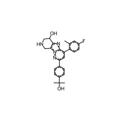 Cc1cc(F)ccc1-c1cc(-c2ccc(C(C)(C)O)cc2)nn2c3c(nc12)C(O)CNC3